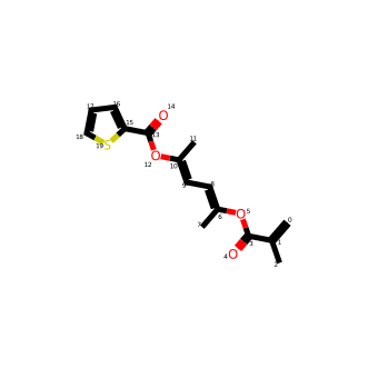 C=C(C)C(=O)O/C(C)=C/C=C(\C)OC(=O)c1cccs1